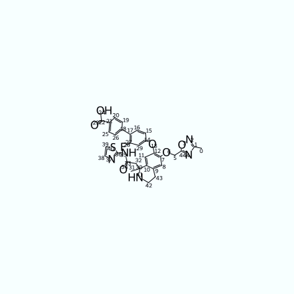 Cc1noc(COc2cc3c(cc2Oc2ccc(-c4ccc(C(=O)O)cc4)c(F)c2)C(C)(CC(=O)Nc2nccs2)NCC3)n1